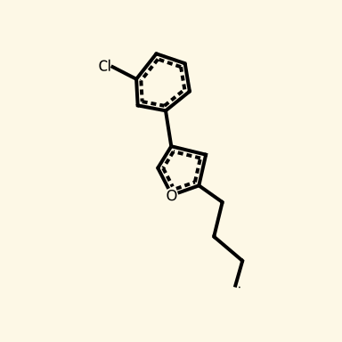 [CH2]CCCc1cc(-c2cccc(Cl)c2)co1